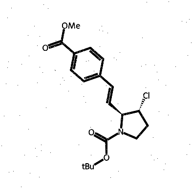 COC(=O)c1ccc(/C=C/[C@H]2[C@H](Cl)CCN2C(=O)OC(C)(C)C)cc1